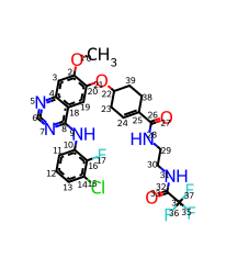 COc1cc2ncnc(Nc3cccc(Cl)c3F)c2cc1OC1CC=C(C(=O)NCCNC(=O)C(F)(F)F)CC1